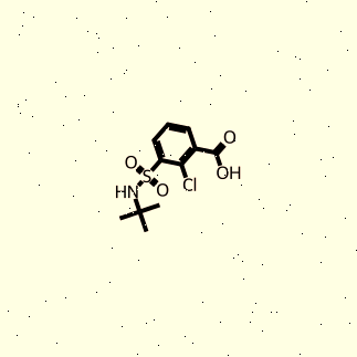 CC(C)(C)NS(=O)(=O)c1cccc(C(=O)O)c1Cl